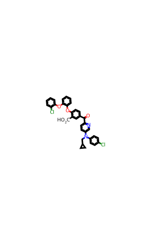 O=C(c1ccc(Oc2ccccc2Oc2ccccc2Cl)c(C(=O)O)c1)c1ccc(N(CC2CC2)c2ccc(Cl)cc2)cn1